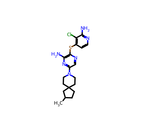 CC1CCC2(CCN(c3cnc(Sc4ccnc(N)c4Cl)c(N)n3)CC2)C1